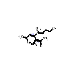 C=C(N)/N=C(\C(N)=C(/N)Cl)N(C)CCCC#N